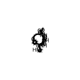 COC(=O)C(=O)[C@@H]1CCCCOc2ccc(cc2)C[C@H](NC(=O)c2ccc[nH]2)C(=O)N[C@@H](C(C)C)C(=O)N1